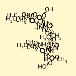 COc1cc(OCCO)c(F)c(C(Nc2ccc(C(N)=NC(=O)OCC(C)(C)C)cc2)c2nc(OCOC(=O)C(C)(C)C(=O)OCOc3nc(C(Nc4ccc(C(N)=NC(=O)OCC(C)(C)C)cc4)c4cc(OC)cc(OCCO)c4F)nn3-c3ncccn3)n(-c3ncccn3)n2)c1